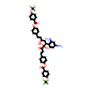 Nc1ccc(C(CC(=O)C=Cc2ccc(OC(=O)c3ccc(OC(F)(F)F)cc3)cc2)C(O)(O)C(=O)C=Cc2ccc(OC(=O)c3ccc(OC(F)(F)F)cc3)cc2)c(N)c1